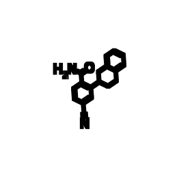 N#Cc1ccc(C(N)=O)c(C2CCc3ccccc3C2)c1